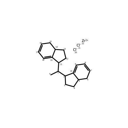 CC(C1CCC2CC=CC=C21)C1CCC2CC=CC=C21.[Cl-].[Cl-].[Zr+2]